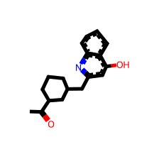 CC(=O)C1CCCC(Cc2cc(O)c3ccccc3n2)C1